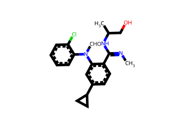 C/N=C(/NC(C)CO)c1ccc(C2CC2)cc1N(C=O)c1ccccc1Cl